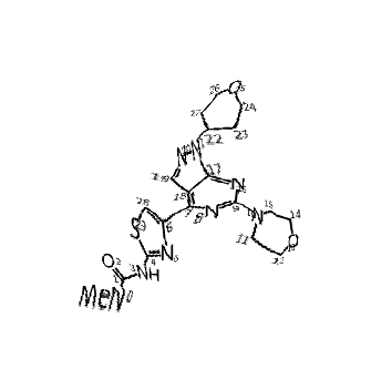 CNC(=O)Nc1nc(-c2nc(N3CCOCC3)nc3c2cnn3C2CCOCC2)cs1